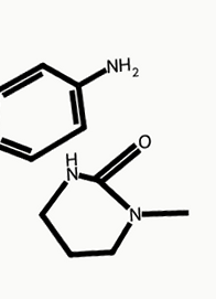 CN1CCCNC1=O.Nc1ccccc1